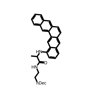 CCCCCCCCCCCCNC(=O)C(C)Nc1cccc2cc3ccc4cc5ccccc5cc4c3cc12